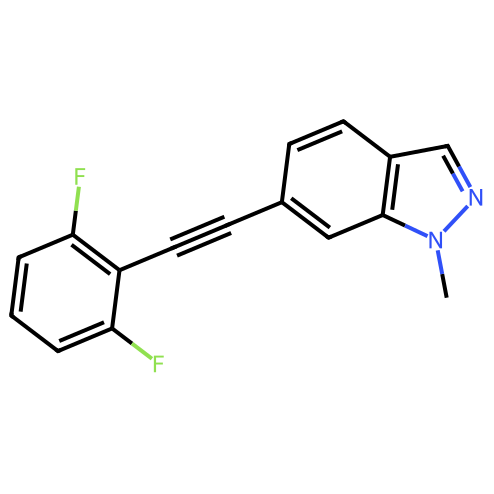 Cn1ncc2ccc(C#Cc3c(F)cccc3F)cc21